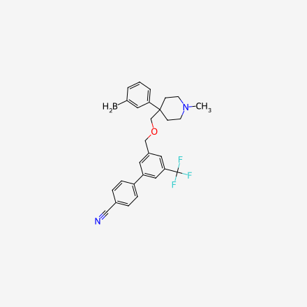 Bc1cccc(C2(COCc3cc(-c4ccc(C#N)cc4)cc(C(F)(F)F)c3)CCN(C)CC2)c1